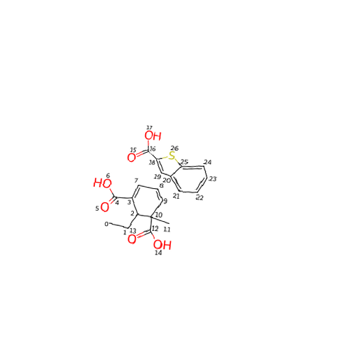 CCC1C(C(=O)O)=CC=CC1(C)C(=O)O.O=C(O)c1cc2ccccc2s1